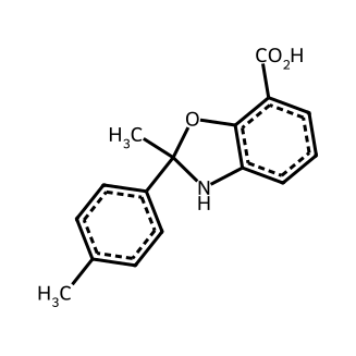 Cc1ccc(C2(C)Nc3cccc(C(=O)O)c3O2)cc1